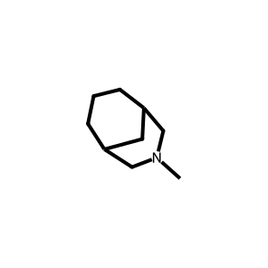 CN1CC2CCCC(C2)C1